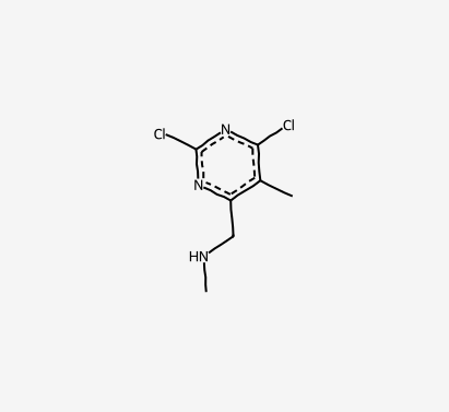 CNCc1nc(Cl)nc(Cl)c1C